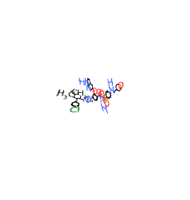 CC1(C)CCC(CN2CCN(c3ccc(C(=O)NS(=O)(=O)c4ccc(NCC5CCOCC5)cc4)c(Oc4cnc5[nH]ccc5c4)c3)CC2)=C(c2ccc(Cl)cc2)C1